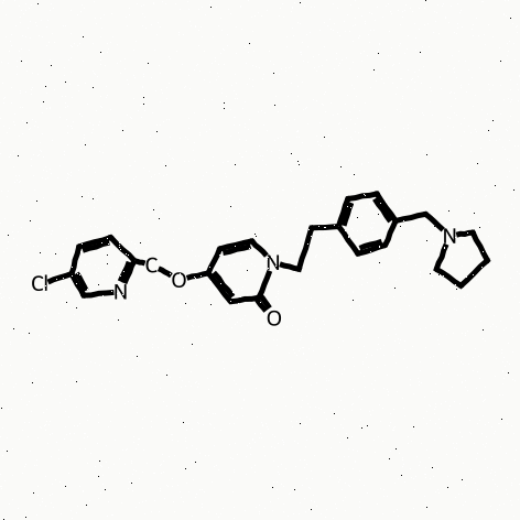 O=c1cc(OCc2ccc(Cl)cn2)ccn1CCc1ccc(CN2CCCC2)cc1